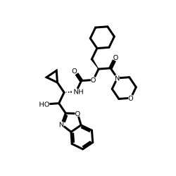 O=C(N[C@@H](C1CC1)C(O)c1nc2ccccc2o1)O[C@@H](CC1CCCCC1)C(=O)N1CCOCC1